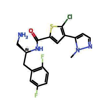 Cn1nccc1-c1cc(C(=O)N[C@H](CN)Cc2cc(F)ccc2F)sc1Cl